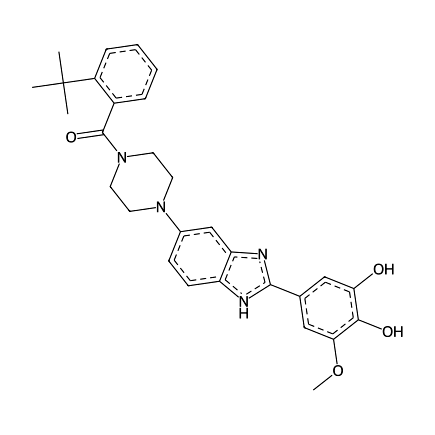 COc1cc(-c2nc3cc(N4CCN(C(=O)c5ccccc5C(C)(C)C)CC4)ccc3[nH]2)cc(O)c1O